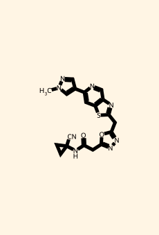 Cn1cc(-c2cc3sc(Cc4nnc(CC(=O)NC5(C#N)CC5)o4)nc3cn2)cn1